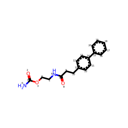 NC(=O)OCCNC(=O)[CH]Cc1ccc(-c2ccccc2)cc1